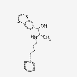 CC(NCCCCc1ccccc1)C(O)c1ccc2c(c1)SC=CS2